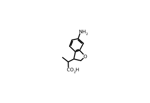 CC(C(=O)O)C1COc2cc(N)ccc21